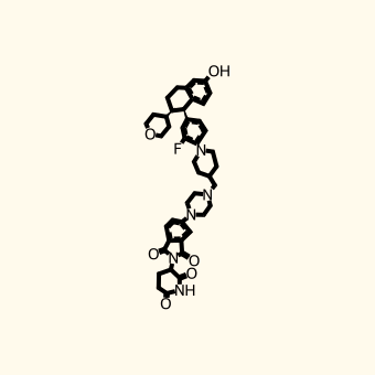 O=C1CCC(N2C(=O)c3ccc(N4CCN(CC5CCN(c6ccc([C@@H]7c8ccc(O)cc8CC[C@@H]7C7CCOCC7)cc6F)CC5)CC4)cc3C2=O)C(=O)N1